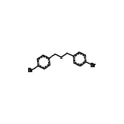 Brc1ccc(C[C]Cc2ccc(Br)cc2)cc1